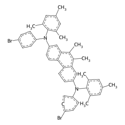 Cc1cc(C)c(N(c2ccc(Br)cc2)c2ccc3c(c2)c(C)c(C)c2cc(N(c4ccc(Br)cc4)c4c(C)cc(C)cc4C)ccc23)c(C)c1